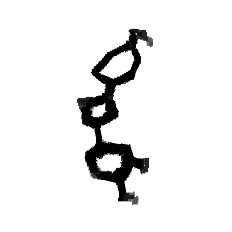 CN1CCC(n2cc(-c3cnc(N)c(Cl)c3)cn2)CC1